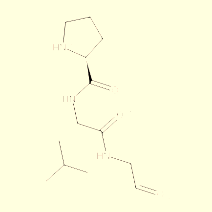 CC(C)C[C@H](NC(=O)[C@@H]1CCCN1)C(=O)NCC=O